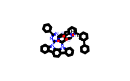 C/C=C\C(=C/C)c1nc(-c2ccccc2)nc(-n2c3ccccc3c3ccc4c5ccccc5n(-c5cccc(-c6cccc(-c7cccc(-c8ccccc8)c7)n6)c5)c4c32)n1